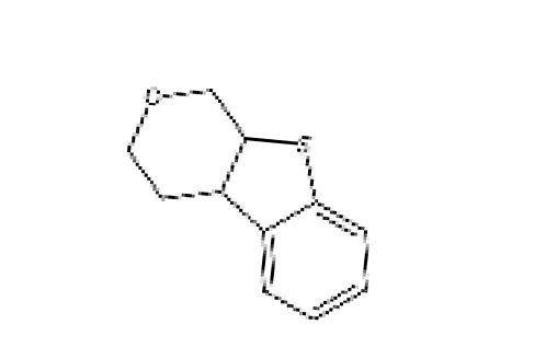 c1ccc2c(c1)SC1COCCC21